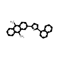 Cc1c2ccccc2c(C)c2cc(-c3ccc(-c4cccc5ccccc45)s3)ccc12